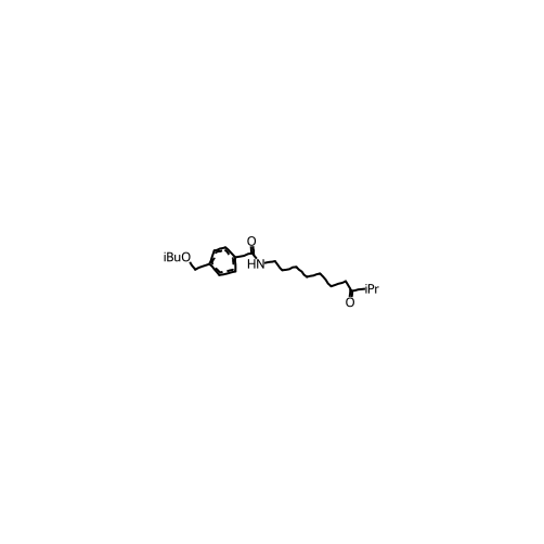 CC(C)COCc1ccc(C(=O)NCCCCCCCC(=O)C(C)C)cc1